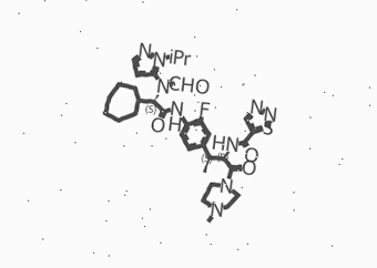 CC(C)n1nccc1N(C=O)[C@H](C(=O)Nc1ccc([C@H](C)[C@@H](NC(=O)c2cnns2)C(=O)N2CCN(C)CC2)cc1F)C1CCCCCC1